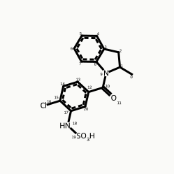 CC1Cc2ccccc2N1C(=O)c1ccc(Cl)c(NS(=O)(=O)O)c1